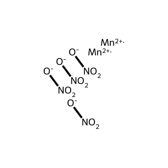 O=[N+]([O-])[O-].O=[N+]([O-])[O-].O=[N+]([O-])[O-].O=[N+]([O-])[O-].[Mn+2].[Mn+2]